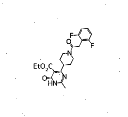 CCOC(=O)c1c(C2CCN(C(=O)Cc3c(F)cccc3F)CC2)nc(C)[nH]c1=O